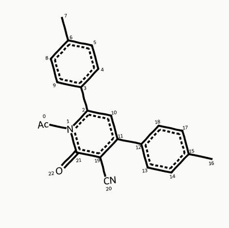 CC(=O)n1c(-c2ccc(C)cc2)cc(-c2ccc(C)cc2)c(C#N)c1=O